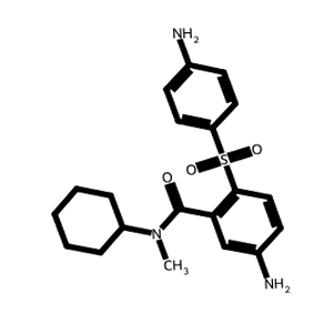 CN(C(=O)c1cc(N)ccc1S(=O)(=O)c1ccc(N)cc1)C1CCCCC1